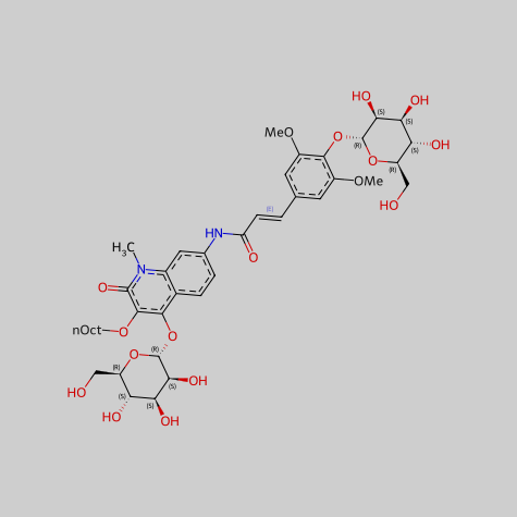 CCCCCCCCOc1c(O[C@H]2O[C@H](CO)[C@@H](O)[C@H](O)[C@@H]2O)c2ccc(NC(=O)/C=C/c3cc(OC)c(O[C@H]4O[C@H](CO)[C@@H](O)[C@H](O)[C@@H]4O)c(OC)c3)cc2n(C)c1=O